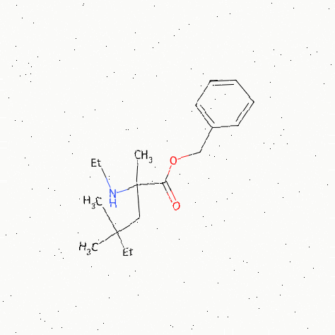 CCNC(C)(CC(C)(C)CC)C(=O)OCc1ccccc1